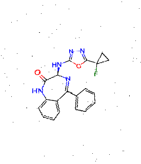 O=C1Nc2ccccc2C(c2ccccc2)=N[C@@H]1Nc1nnc(C2(F)CC2)o1